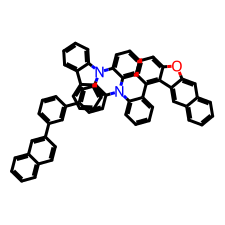 c1cc(-c2ccc(N(c3ccccc3-c3cccc4oc5cc6ccccc6cc5c34)c3ccccc3-n3c4ccccc4c4ccccc43)cc2)cc(-c2ccc3ccccc3c2)c1